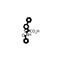 O=C(Nc1sc2c(c1C(=O)O)CC(c1ccccc1)CC2)c1ccccc1